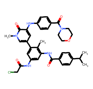 Cc1c(NC(=O)c2ccc(C(C)C)cc2)cc(NC(=O)CCl)cc1-c1cc(Nc2ccc(C(=O)N3CCOCC3)cc2)c(=O)n(C)c1